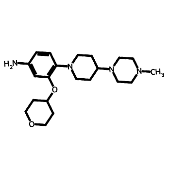 CN1CCN(C2CCN(c3ccc(N)cc3OC3CCOCC3)CC2)CC1